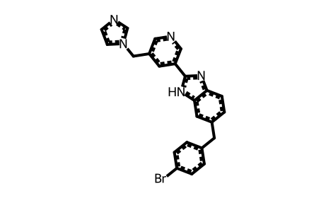 Brc1ccc(Cc2ccc3nc(-c4cncc(Cn5ccnc5)c4)[nH]c3c2)cc1